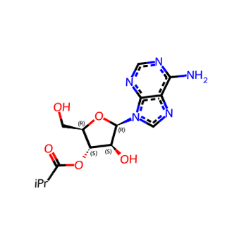 CC(C)C(=O)O[C@H]1[C@H](O)[C@H](n2cnc3c(N)ncnc32)O[C@@H]1CO